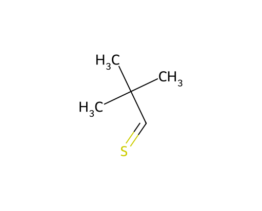 CC(C)(C)C=S